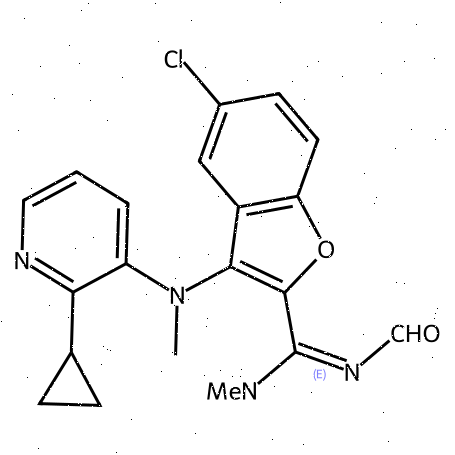 CN/C(=N/C=O)c1oc2ccc(Cl)cc2c1N(C)c1cccnc1C1CC1